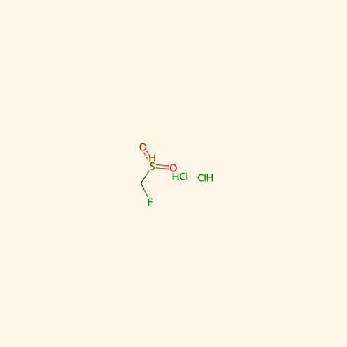 Cl.Cl.O=[SH](=O)CF